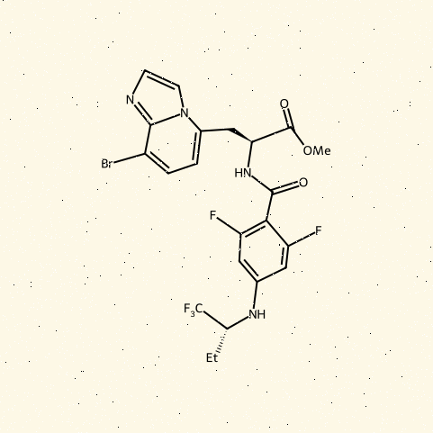 CC[C@@H](Nc1cc(F)c(C(=O)N[C@@H](Cc2ccc(Br)c3nccn23)C(=O)OC)c(F)c1)C(F)(F)F